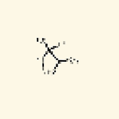 CC(O)C(F)(OF)C(F)(F)F